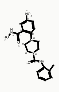 Cc1ccccc1NC(=O)N1CCN(c2ccc([N+](=O)[O-])cc2C(=O)NO)CC1